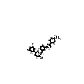 CN1CCC(c2cnc(-c3cccc(Cn4nc(-c5cc(F)cc(F)c5)ccc4=O)c3)s2)CC1